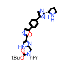 CCCN(Cc1nc(-c2ncc(-c3ccc(-c4cnc([C@@H]5CCCN5)[nH]4)cc3)o2)c[nH]1)C(=O)OC(C)(C)C